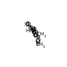 Cc1c(OC2CCN(C)CC2)ccc2cc(NC(=O)OCc3ccccc3)c(=O)oc12